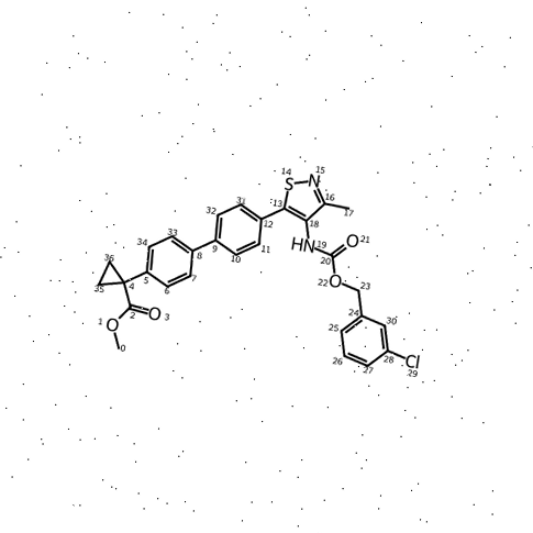 COC(=O)C1(c2ccc(-c3ccc(-c4snc(C)c4NC(=O)OCc4cccc(Cl)c4)cc3)cc2)CC1